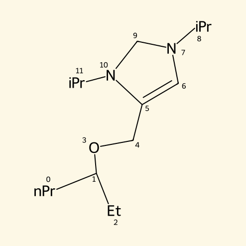 CCCC(CC)OCC1=CN(C(C)C)CN1C(C)C